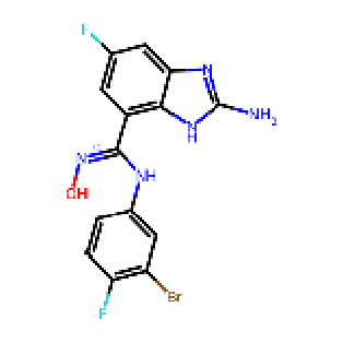 Nc1nc2cc(F)cc(/C(=N/O)Nc3ccc(F)c(Br)c3)c2[nH]1